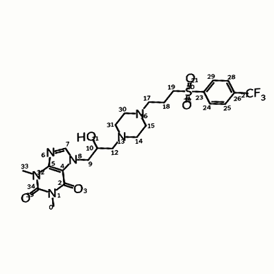 Cn1c(=O)c2c(ncn2CC(O)CN2CCN(CCCS(=O)(=O)c3ccc(C(F)(F)F)cc3)CC2)n(C)c1=O